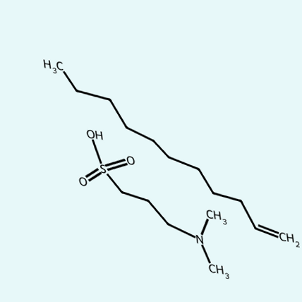 C=CCCCCCCCCC.CN(C)CCCS(=O)(=O)O